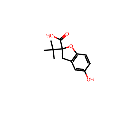 CC(C)(C)C1(C(=O)O)Cc2cc(O)ccc2O1